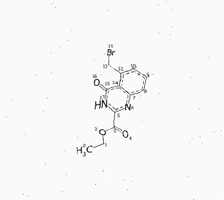 CCOC(=O)c1nc2cccc(CBr)c2c(=O)[nH]1